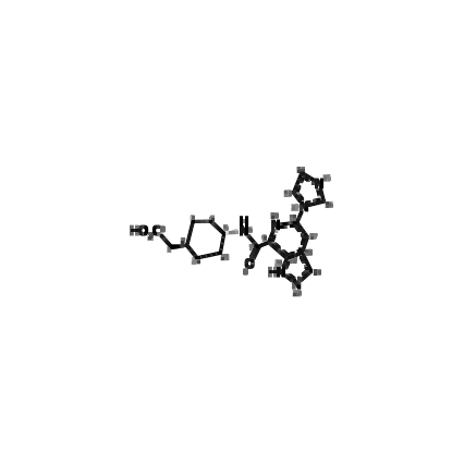 O=C(O)C[C@H]1CC[C@H](NC(=O)c2nc(-n3ccnc3)cc3cn[nH]c23)CC1